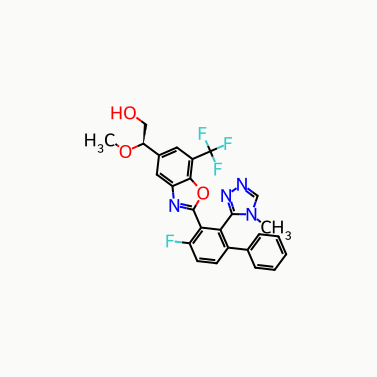 CO[C@@H](CO)c1cc(C(F)(F)F)c2oc(-c3c(F)ccc(-c4ccccc4)c3-c3nncn3C)nc2c1